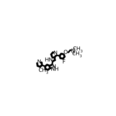 Cc1ccncc1-c1ccc2[nH]nc(-c3cc4c(-c5cc(F)cc(OCCN(C)C)c5)nccc4[nH]3)c2c1